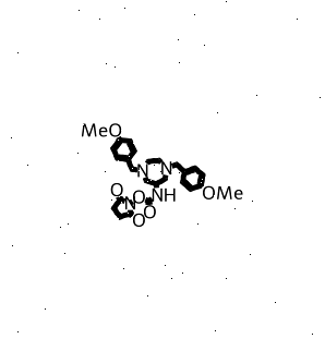 COc1ccc(CN2CCN(Cc3ccc(OC)cc3)CC(NC(=O)ON3C(=O)CCC3=O)C2)cc1